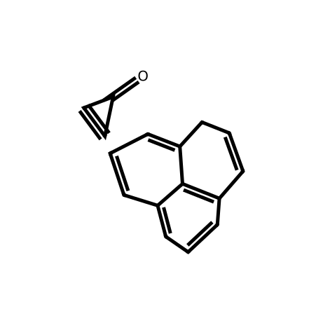 C1=Cc2cccc3cccc(c23)C1.O=c1c#c1